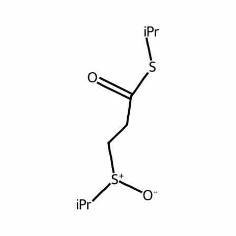 CC(C)SC(=O)CC[S+]([O-])C(C)C